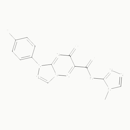 Cn1cnnc1NC(=O)c1nn2cnn(-c3ccc(F)cc3)c2nc1=O